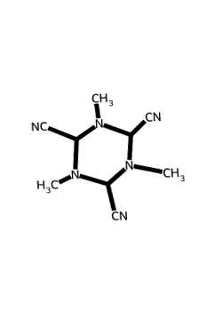 CN1C(C#N)N(C)C(C#N)N(C)C1C#N